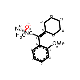 COc1ccccc1C(C#N)=C1CCCCC1.C[O-].[Na+]